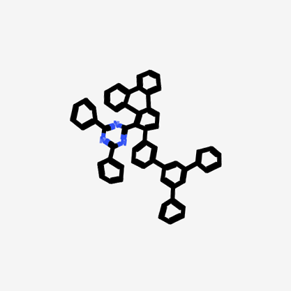 c1ccc(-c2cc(-c3ccccc3)cc(-c3cccc(-c4ccc5c6ccccc6c6ccccc6c5c4-c4nc(-c5ccccc5)nc(-c5ccccc5)n4)c3)c2)cc1